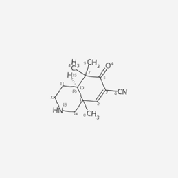 CC12C=C(C#N)C(=O)C(C)(C)[C@@H]1CCNC2